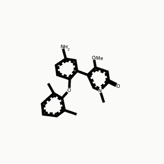 COc1cc(=O)n(C)cc1-c1cc(N)ccc1Oc1c(C)cccc1C